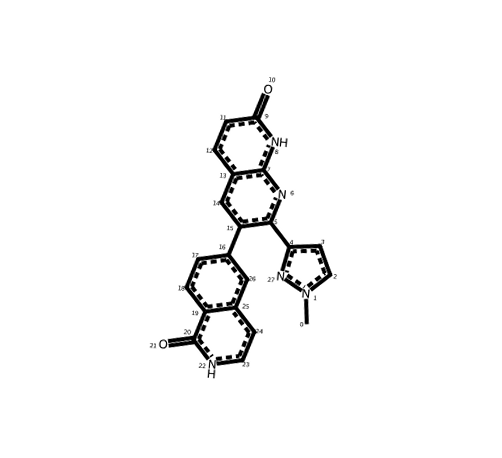 Cn1ccc(-c2nc3[nH]c(=O)ccc3cc2-c2ccc3c(=O)[nH]ccc3c2)n1